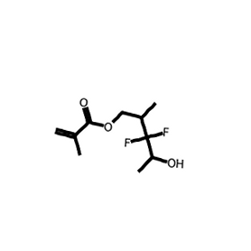 C=C(C)C(=O)OCC(C)C(F)(F)C(C)O